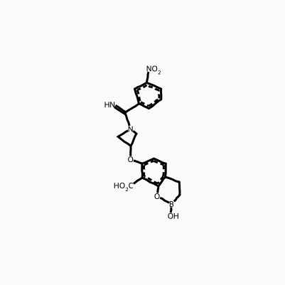 N=C(c1cccc([N+](=O)[O-])c1)N1CC(Oc2ccc3c(c2C(=O)O)OB(O)CC3)C1